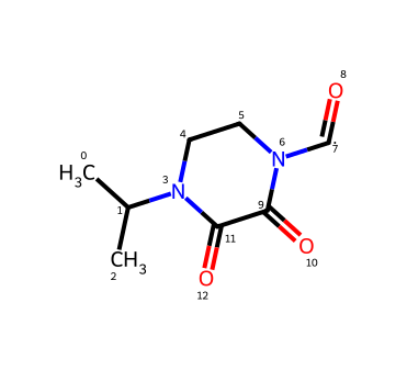 CC(C)N1CCN([C]=O)C(=O)C1=O